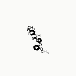 COc1ccc(NC(=S)N2CC[C@H](Oc3ccccc3OC)C2)cn1